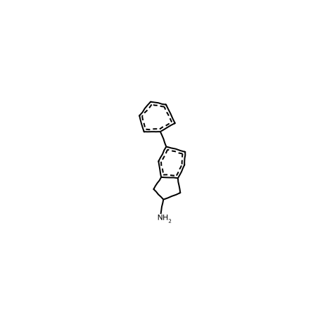 NC1Cc2ccc(-c3ccccc3)cc2C1